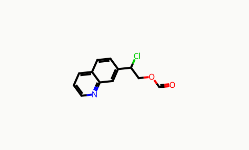 O=COCC(Cl)c1ccc2cccnc2c1